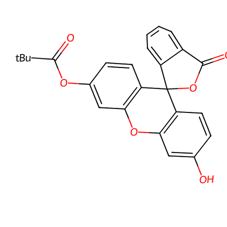 CC(C)(C)C(=O)Oc1ccc2c(c1)Oc1cc(O)ccc1C21OC(=O)c2ccccc21